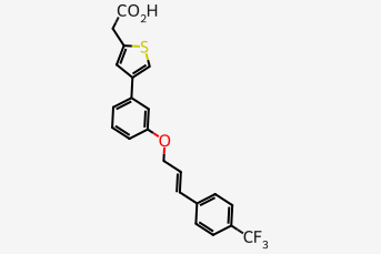 O=C(O)Cc1cc(-c2cccc(OCC=Cc3ccc(C(F)(F)F)cc3)c2)cs1